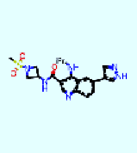 CC(C)Nc1c(C(=O)NC2CN(S(C)(=O)=O)C2)cnc2ccc(-c3cn[nH]c3)cc12